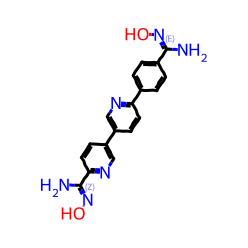 N/C(=N\O)c1ccc(-c2ccc(-c3ccc(/C(N)=N\O)cc3)nc2)cn1